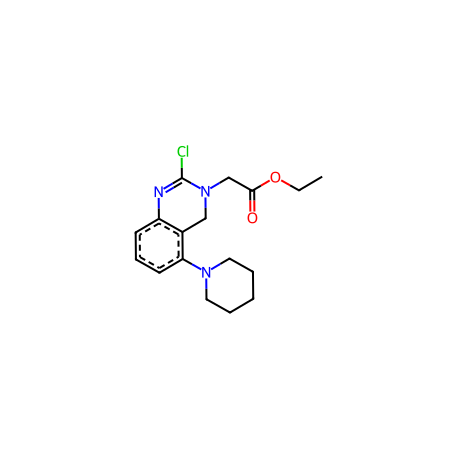 CCOC(=O)CN1Cc2c(cccc2N2CCCCC2)N=C1Cl